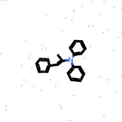 CC(=Cc1ccccc1)N(c1ccccc1)c1ccccc1